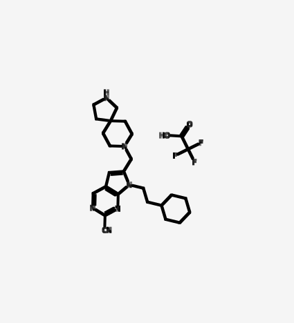 N#Cc1ncc2cc(CN3CCC4(CCNC4)CC3)n(CCC3CCCCC3)c2n1.O=C(O)C(F)(F)F